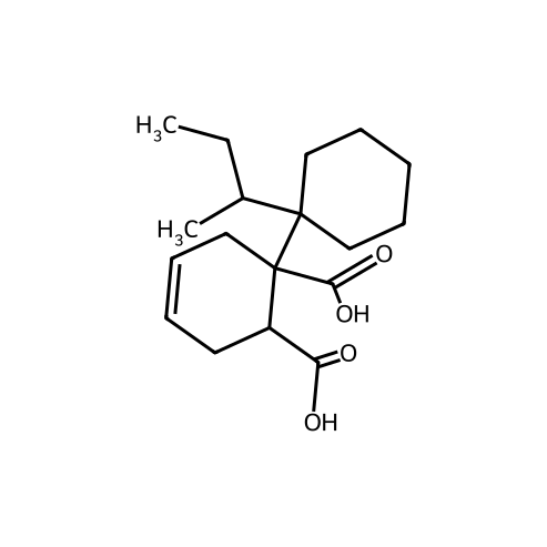 CCC(C)C1(C2(C(=O)O)CC=CCC2C(=O)O)CCCCC1